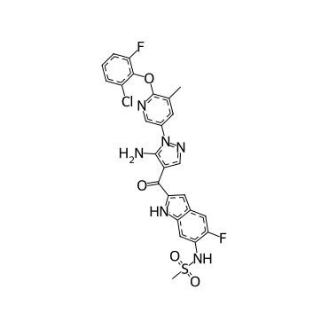 Cc1cc(-n2ncc(C(=O)c3cc4cc(F)c(NS(C)(=O)=O)cc4[nH]3)c2N)cnc1Oc1c(F)cccc1Cl